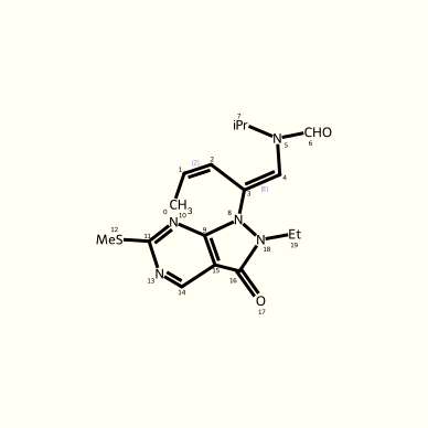 C/C=C\C(=C/N(C=O)C(C)C)n1c2nc(SC)ncc2c(=O)n1CC